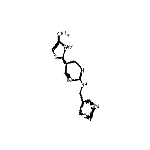 CC1=CSC(=C2[C]=NC(NCc3cccnc3)=NC2)N1